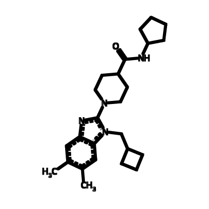 Cc1cc2nc(N3CCC(C(=O)NC4CCCC4)CC3)n(CC3CCC3)c2cc1C